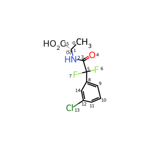 C[C@H](NC(=O)C(F)(F)c1cccc(Cl)c1)C(=O)O